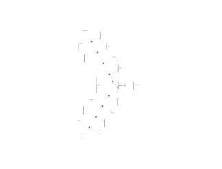 CN(C(F)(F)C(F)(F)C(F)(F)C(F)(F)F)C(F)(F)C(F)(F)C(F)(F)C(F)(F)F